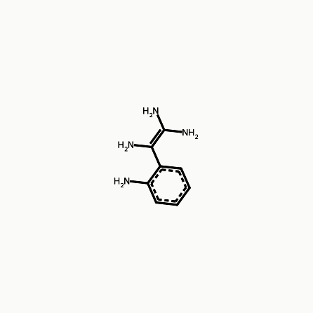 NC(N)=C(N)c1ccccc1N